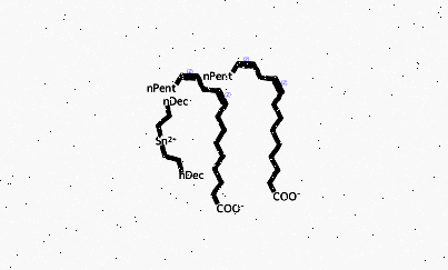 CCCCC/C=C\C/C=C\CCCCCCCC(=O)[O-].CCCCC/C=C\C/C=C\CCCCCCCC(=O)[O-].CCCCCCCCCCC[CH2][Sn+2][CH2]CCCCCCCCCCC